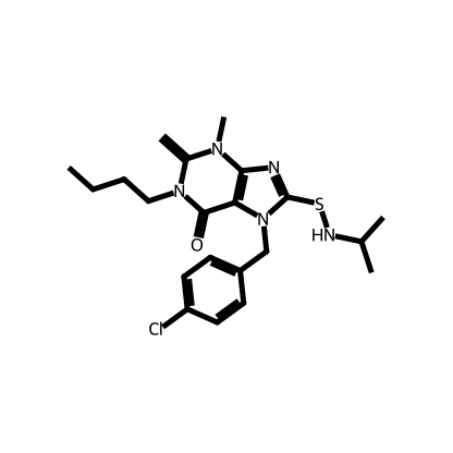 C=C1N(CCCC)C(=O)c2c(nc(SNC(C)C)n2Cc2ccc(Cl)cc2)N1C